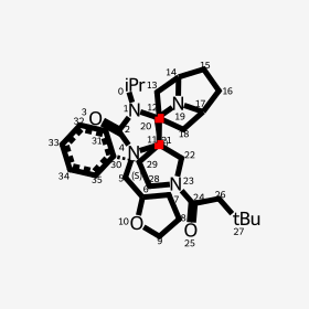 CC(C)N1C(=O)N(CC2CCCO2)CC12CC1CCC(C2)N1C[C@H]1CN(C(=O)CC(C)(C)C)C[C@@H]1c1ccccc1